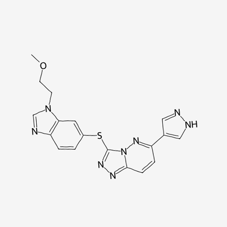 COCCn1cnc2ccc(Sc3nnc4ccc(-c5cn[nH]c5)nn34)cc21